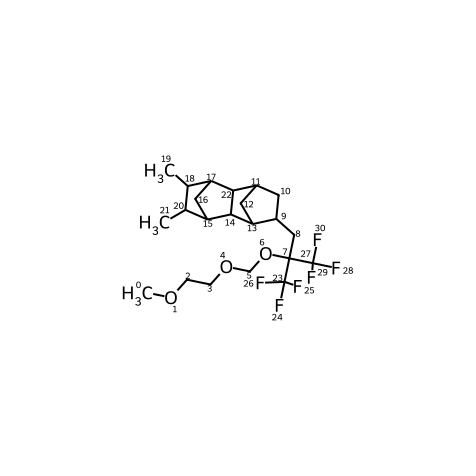 COCCOCOC(CC1CC2CC1C1C3CC(C(C)C3C)C21)(C(F)(F)F)C(F)(F)F